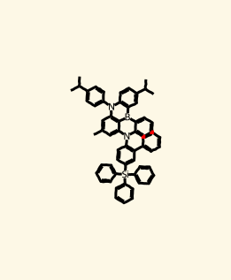 Cc1cc2c3c(c1)N(c1ccc([Si](c4ccccc4)(c4ccccc4)c4ccccc4)cc1-c1ccccc1)c1ccccc1B3c1cc(C(C)C)ccc1N2c1ccc(C(C)C)cc1